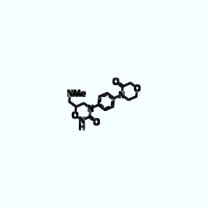 CNCC1CN(c2ccc(N3CCOCC3=O)cc2)C(=O)NO1